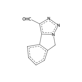 O=Cc1nnn2c1-c1ccccc1C2